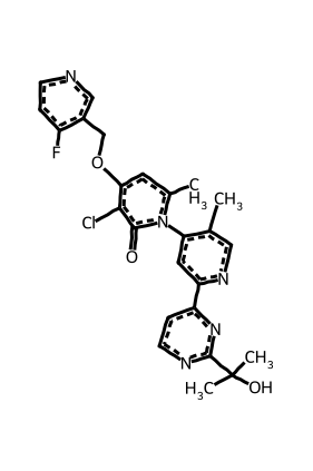 Cc1cnc(-c2ccnc(C(C)(C)O)n2)cc1-n1c(C)cc(OCc2cnccc2F)c(Cl)c1=O